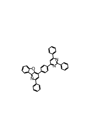 c1ccc(-c2cc(-c3ccc(-c4cc(-c5ccccc5)nc5c4oc4ccccc45)cc3)nc(-c3ccccc3)n2)cc1